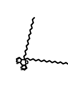 CCCCCCCCCCCCCCCCC1(CCCCCCCCCCCCCCCC)Oc2ccsc2C2SC=CC21